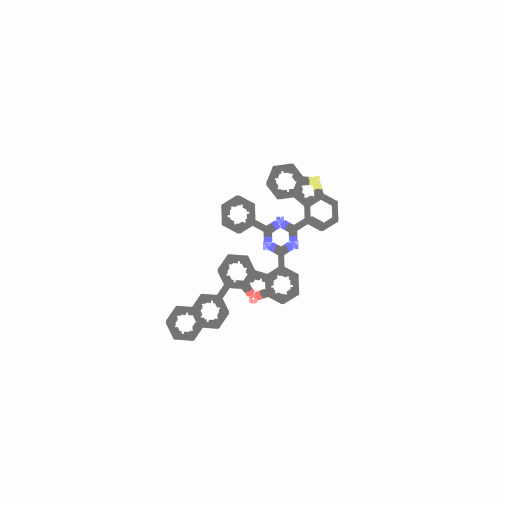 C1=C(c2nc(-c3ccccc3)nc(-c3cccc4oc5c(-c6ccc7ccccc7c6)cccc5c34)n2)c2c(sc3ccccc23)CC1